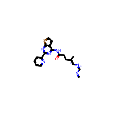 C=N/C=N\C=C(/C)CCC(=O)Nc1nc(-c2ccccn2)nc2sccc12